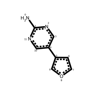 Nc1ncc(-c2ccoc2)cn1